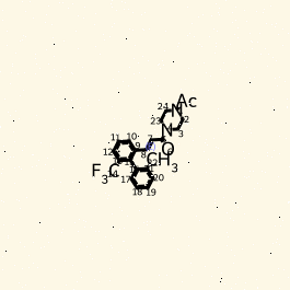 CC(=O)N1CCN(C(=O)/C=C/c2cc[c]c(C(F)(F)F)c2-c2ccccc2C)CC1